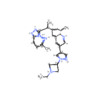 C=C/C=C(\C=C1\C=C(c2cnn(C3CN(CC)C3)c2)C=NC1)C(C)c1nnc2ccc(C)nn12